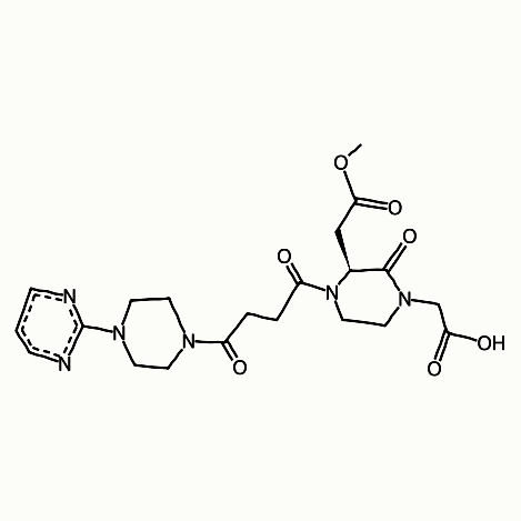 COC(=O)C[C@H]1C(=O)N(CC(=O)O)CCN1C(=O)CCC(=O)N1CCN(c2ncccn2)CC1